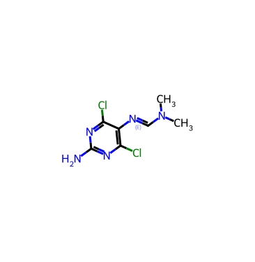 CN(C)/C=N/c1c(Cl)nc(N)nc1Cl